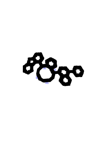 C1=C\C/C(c2ccc(-c3ccccc3)c3ccccc23)=c2/cccc/c2=C(\c2cccc3sc4ccccc4c23)C\C=C/1